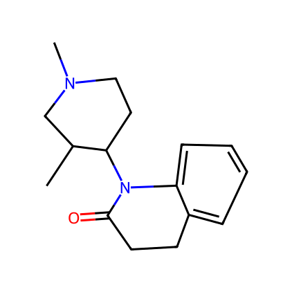 CC1CN(C)CCC1N1C(=O)CCc2ccccc21